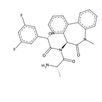 C[C@H](N)C(=O)N(C(=O)[C@@H](O)c1cc(F)cc(F)c1)[C@@H]1C(=O)N(C)c2ccccc2-c2ccccc21